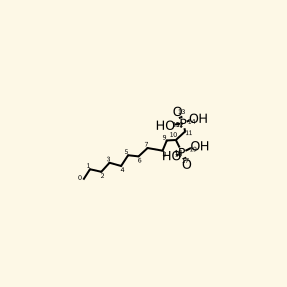 CCCCCCCCCCC(CP(=O)(O)O)P(=O)(O)O